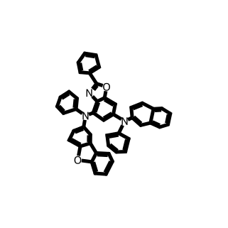 c1ccc(-c2nc3c(N(c4ccccc4)c4ccc5oc6ccccc6c5c4)cc(N(c4ccccc4)c4ccc5ccccc5c4)cc3o2)cc1